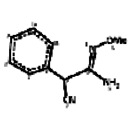 CON=C(N)C(C#N)c1ccccc1